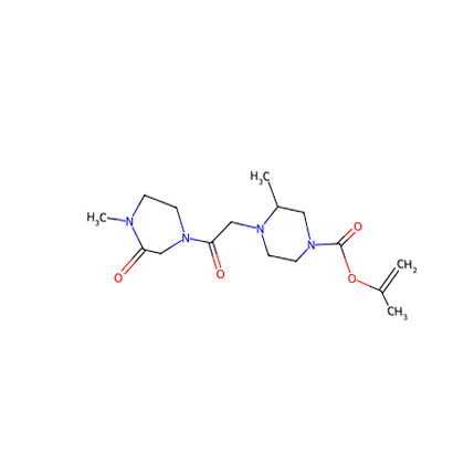 C=C(C)OC(=O)N1CCN(CC(=O)N2CCN(C)C(=O)C2)C(C)C1